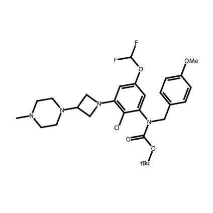 COc1ccc(CN(C(=O)OC(C)(C)C)c2cc(OC(F)F)cc(N3CC(N4CCN(C)CC4)C3)c2Cl)cc1